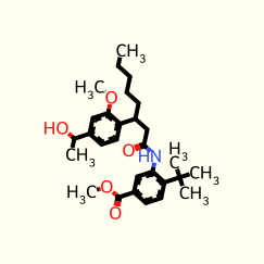 CCCCCC(CC(=O)Nc1cc(C(=O)OC)ccc1C(C)(C)C)c1ccc(C(C)O)cc1OC